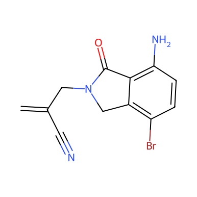 C=C(C#N)CN1Cc2c(Br)ccc(N)c2C1=O